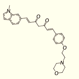 Cn1ccc2ccc(C=CC(=O)CC(=O)C=Cc3ccc(OCCN4CCOCC4)cc3)cc21